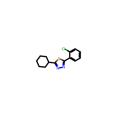 Clc1ccccc1-c1nnc(C2CCCCC2)s1